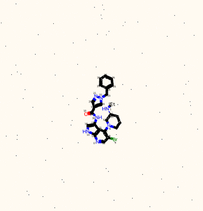 CCN[C@@H]1CCCN(c2c(Br)cnc3[nH]cc(NC(=O)c4cnn(Cc5ccccc5)c4)c23)C1